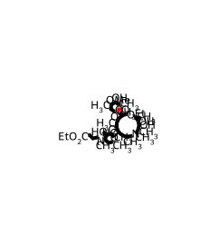 CCOC(=O)CCCN(C)C1CC(C)OC(OC2C(C)C(OC3CC(C)(OC)C(O)C(C)O3)C(C)C(=O)OC(CC)C(C)(O)C(O)C(C)N(C)CC(C)CC2(C)O)C1O